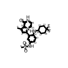 Cc1cc(-c2cc(NS(C)(=O)=O)ccc2NC2CCC(F)(F)CC2)n2cc[nH]c(=O)c12